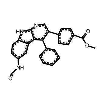 COC(=O)c1ccc(-c2cnc3[nH]c4ccc(NC=O)cc4c3c2-c2ccccc2)cc1